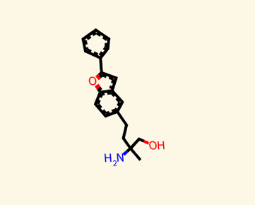 CC(N)(CO)CCc1ccc2oc(-c3ccccc3)cc2c1